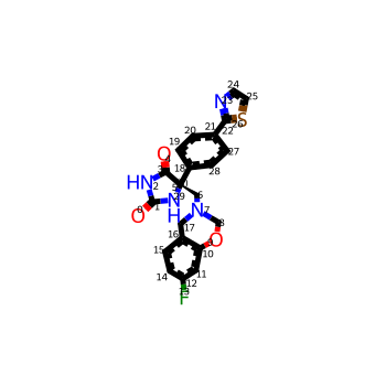 O=C1NC(=O)[C@](CN2COc3cc(F)ccc3C2)(c2ccc(-c3nccs3)cc2)N1